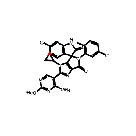 COc1ncc(-c2nc3c(n2C2CC2)C2(C(=O)Nc4cc(Cl)ccc42)N(c2cc(Cl)ccc2C)C3=O)c(OC)n1